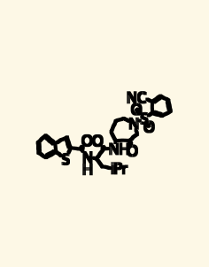 CC(C)CC(NC(=O)c1cc2ccccc2s1)C(=O)NC1CCCN(S(=O)(=O)c2ccccc2C#N)CC1=O